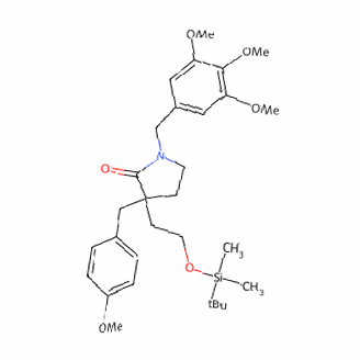 COc1ccc(CC2(CCO[Si](C)(C)C(C)(C)C)CCN(Cc3cc(OC)c(OC)c(OC)c3)C2=O)cc1